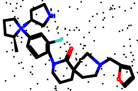 C[C@H]1CCC[N+]1(c1ccc(N2CCCC3(CCN(Cc4ccco4)CC3)C2=O)c(F)c1)[C@H]1CCNC1